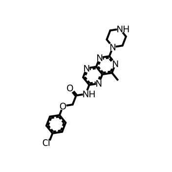 Cc1nc(N2CCNCC2)nc2ncc(NC(=O)COc3ccc(Cl)cc3)nc12